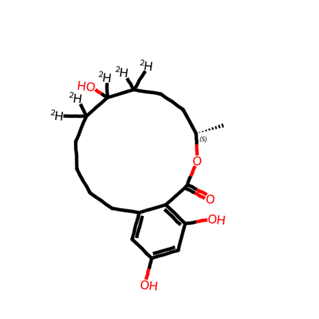 [2H]C1([2H])CCCCc2cc(O)cc(O)c2C(=O)O[C@@H](C)CCC([2H])([2H])C1([2H])O